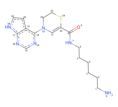 NCCCCCCNC(=O)C1=CN(c2ncnc3[nH]ccc23)CCS1